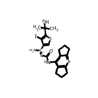 CC(C)(O)c1scc(/S(N)=N\C(=O)Nc2c3c(nc4c2CCC4)CCC3)c1F